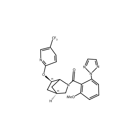 COc1cccc(-n2nccn2)c1C(=O)N1C[C@@H]2CC1[C@H](Oc1ccc(C(F)(F)F)cn1)C2